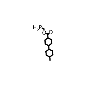 CC1CCC(C2CCC(C(=O)OCP)CC2)CC1